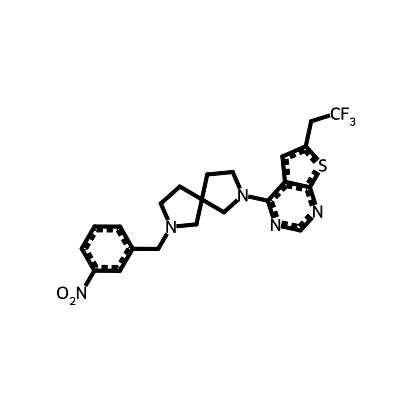 O=[N+]([O-])c1cccc(CN2CCC3(CCN(c4ncnc5sc(CC(F)(F)F)cc45)C3)C2)c1